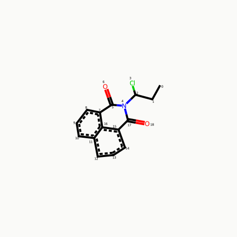 CCC(Cl)N1C(=O)c2cccc3cccc(c23)C1=O